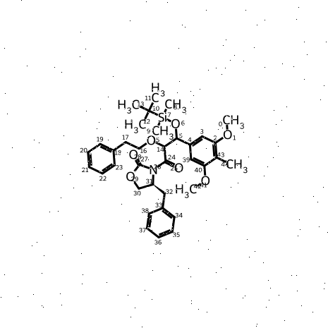 COc1cc(C(O[Si](C)(C)C(C)(C)C)C(OCCc2ccccc2)C(=O)N2C(=O)OC[C@@H]2Cc2ccccc2)cc(OC)c1C